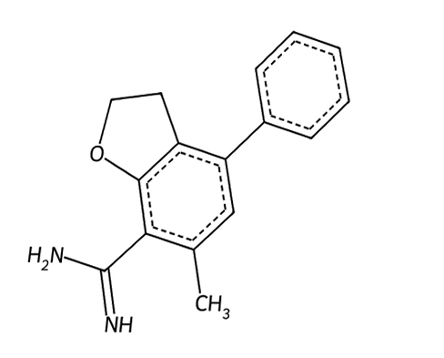 Cc1cc(-c2ccccc2)c2c(c1C(=N)N)OCC2